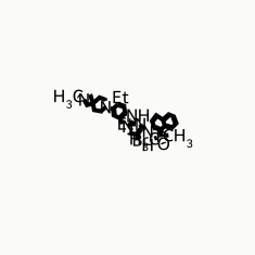 CCc1cc(N2CCC3(CC2)CN(C)C3)c(CC)cc1Nc1ncc(Br)c(Nc2ccc3ccccc3c2P(C)(C)=O)n1